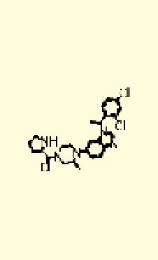 CC1CN(C(=O)[C@H]2CCCN2)CCN1c1ccc2ncn(C(C)c3ccc(Cl)cc3Cl)c2c1